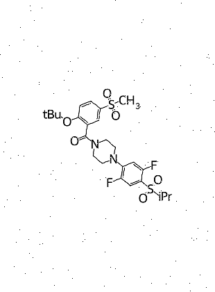 CC(C)S(=O)(=O)c1cc(F)c(N2CCN(C(=O)c3cc(S(C)(=O)=O)ccc3OC(C)(C)C)CC2)cc1F